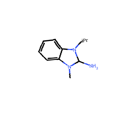 CC(C)N1c2ccccc2N(C)C1N